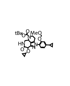 COCOc1cc(C2CC2)ccc1-n1nc2c3c1CCN(C(=O)OC(C)(C)C)C3CNC(=O)C2OC1CC1